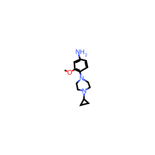 COc1cc(N)ccc1N1CCN(C2CC2)CC1